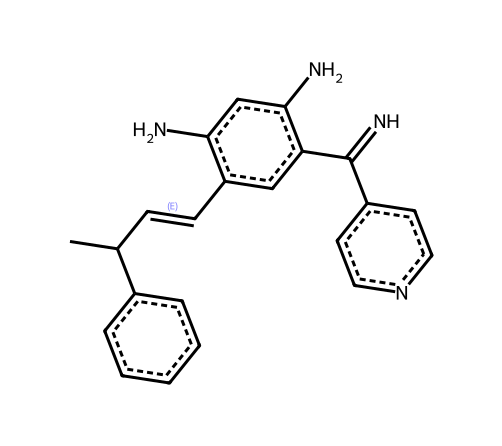 CC(/C=C/c1cc(C(=N)c2ccncc2)c(N)cc1N)c1ccccc1